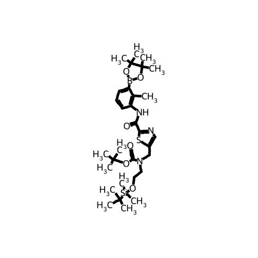 Cc1c(NC(=O)c2ncc(CN(CCO[Si](C)(C)C(C)(C)C)C(=O)OC(C)(C)C)s2)cccc1B1OC(C)(C)C(C)(C)O1